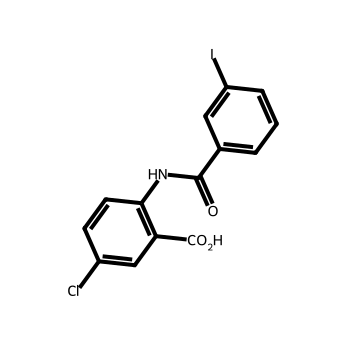 O=C(Nc1ccc(Cl)cc1C(=O)O)c1cccc(I)c1